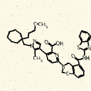 COCCCC1(Cn2ncc(-c3ccc(N4CCc5cccc(C(=O)Nc6nc7ccccc7s6)c5C4)nc3C(=O)O)c2C)CCCCCC1